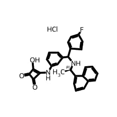 C[C@@H](NC(c1ccc(F)cc1)c1cccc(Nc2c(O)c(=O)c2=O)c1)c1cccc2ccccc12.Cl